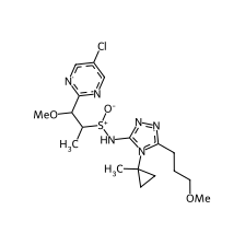 COCCCc1nnc(N[S+]([O-])C(C)C(OC)c2ncc(Cl)cn2)n1C1(C)CC1